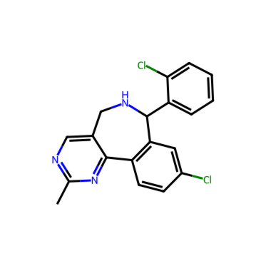 Cc1ncc2c(n1)-c1ccc(Cl)cc1C(c1ccccc1Cl)NC2